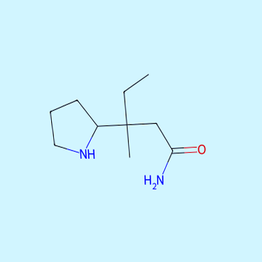 CCC(C)(CC(N)=O)C1CCCN1